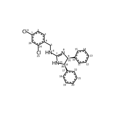 Clc1ccc(CNC2=N[C@@H](c3ccccc3)[C@@H](c3ccccc3)N2)c(Cl)c1